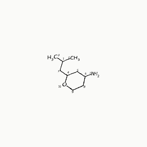 CC(C)CC1CC(N)CCO1